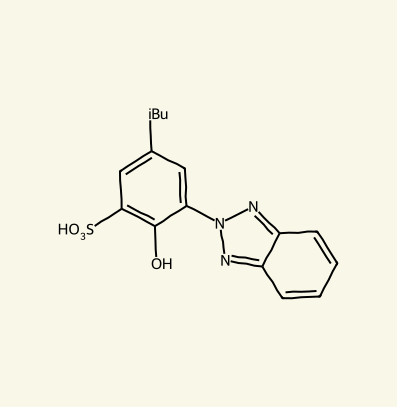 CCC(C)c1cc(-n2nc3ccccc3n2)c(O)c(S(=O)(=O)O)c1